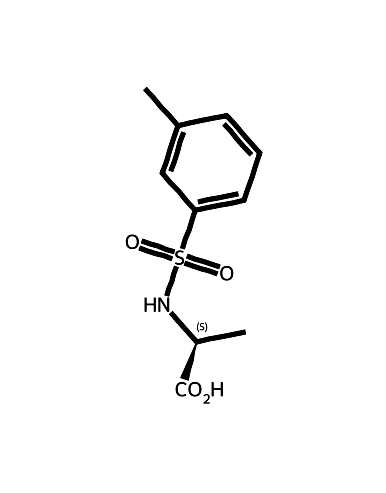 Cc1cccc(S(=O)(=O)N[C@@H](C)C(=O)O)c1